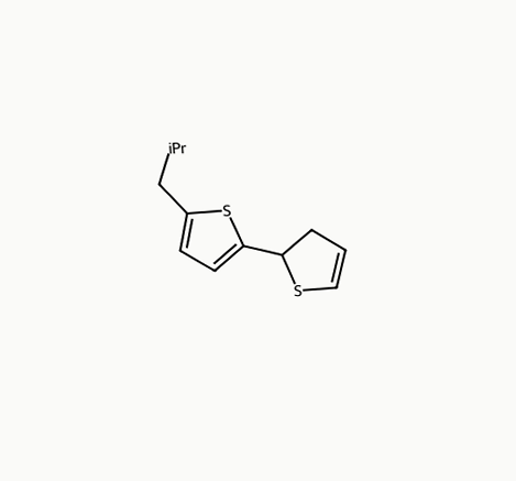 CC(C)Cc1ccc(C2CC=CS2)s1